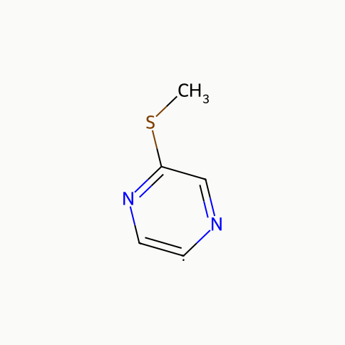 CSc1cn[c]cn1